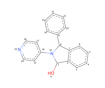 OC1c2ccccc2C(c2ccccc2)N1c1ccncc1